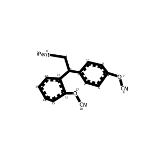 CCCC(C)CC(c1ccc(OC#N)cc1)c1ccccc1OC#N